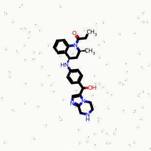 CCC(=O)N1c2ccccc2[C@H](Nc2ccc(C(O)c3cnc4n3CCNC4)cc2)C[C@@H]1C